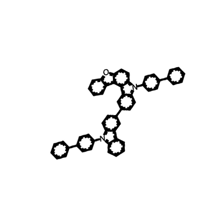 c1ccc(-c2ccc(-n3c4ccccc4c4cc(-c5ccc6c(c5)c5c7c(ccc5n6-c5ccc(-c6ccccc6)cc5)oc5ccccc57)ccc43)cc2)cc1